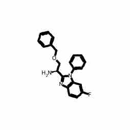 N[C@@H](COCc1ccccc1)c1nc2ccc(F)cc2n1-c1ccccc1